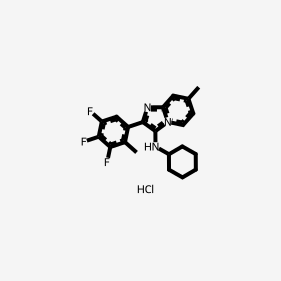 Cc1ccn2c(NC3CCCCC3)c(-c3cc(F)c(F)c(F)c3C)nc2c1.Cl